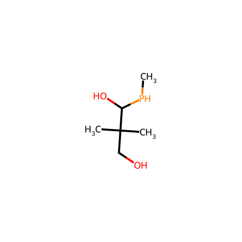 CPC(O)C(C)(C)CO